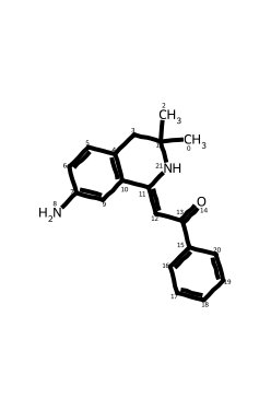 CC1(C)Cc2ccc(N)cc2C(=CC(=O)c2ccccc2)N1